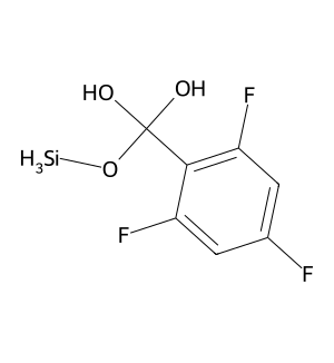 OC(O)(O[SiH3])c1c(F)cc(F)cc1F